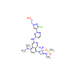 CN(C)c1ccc(N2C[C@H](N(C)S(C)(=O)=O)[C@H]2N)c2cnc(Nc3ccnc(-c4cn(CCO)nc4Cl)n3)cc12